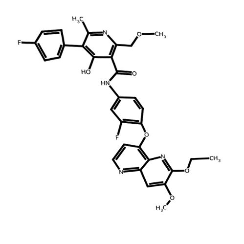 CCOc1nc2c(Oc3ccc(NC(=O)c4c(COC)nc(C)c(-c5ccc(F)cc5)c4O)cc3F)ccnc2cc1OC